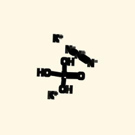 O=P(O)(O)O.[K+].[K+].[N-]=[N+]=[N-]